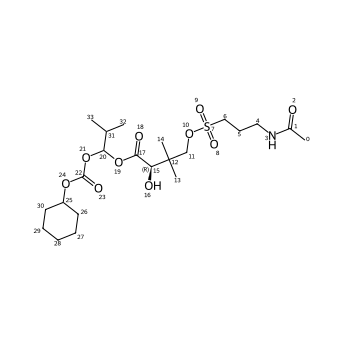 CC(=O)NCCCS(=O)(=O)OCC(C)(C)[C@@H](O)C(=O)OC(OC(=O)OC1CCCCC1)C(C)C